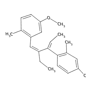 CC=C(/C(=C\c1cc(OC)ccc1C)CC)c1ccc(C)cc1C